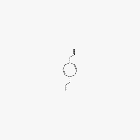 C=CCC1/C=C\CC(CC=C)/C=C\C1